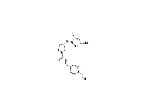 N=C/C=C(/F)C(=N)OC1CCN(C(=O)COc2ccc(CO)cc2)C1